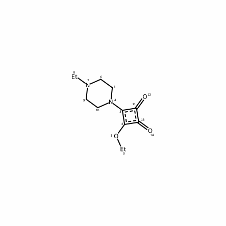 CCOc1c(N2CCN(CC)CC2)c(=O)c1=O